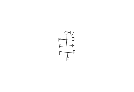 [CH2]C(F)(Cl)C(F)(F)C(F)(F)F